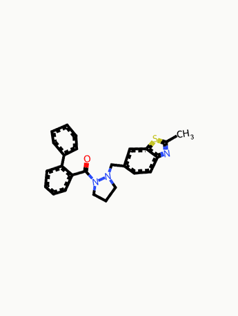 Cc1nc2ccc(CN3CCCN3C(=O)c3ccccc3-c3ccccc3)cc2s1